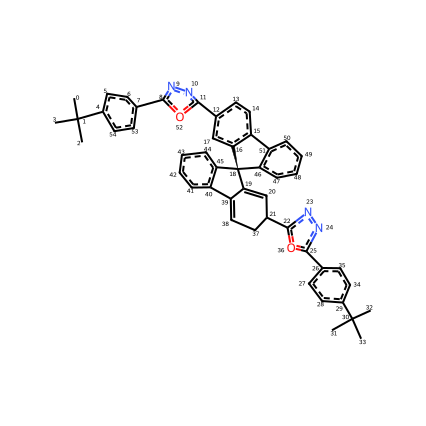 CC(C)(C)c1ccc(-c2nnc(-c3ccc4c(c3)[C@]3(C5=CC(c6nnc(-c7ccc(C(C)(C)C)cc7)o6)CC=C5c5ccccc53)c3ccccc3-4)o2)cc1